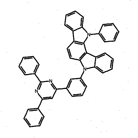 c1ccc(-c2cc(-c3cccc(-n4c5ccccc5c5c4ccc4c6ccccc6n(-c6ccccc6)c45)c3)nc(-c3ccccc3)n2)cc1